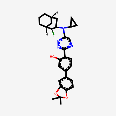 CC1(C)Oc2ccc(-c3ccc(-c4ncc(N(C5CC5)[C@@H]5C[C@H]6CCC[C@H](C6)[C@@H]5F)nn4)c(O)c3)cc2O1